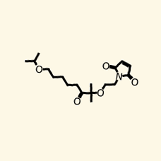 CC(C)OCCCCCC(=O)C(C)(C)OCCN1C(=O)C=CC1=O